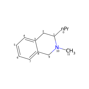 CCCC1Cc2ccccc2CN1C